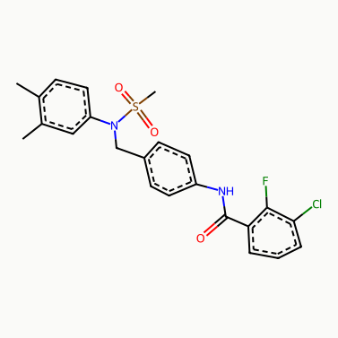 Cc1ccc(N(Cc2ccc(NC(=O)c3cccc(Cl)c3F)cc2)S(C)(=O)=O)cc1C